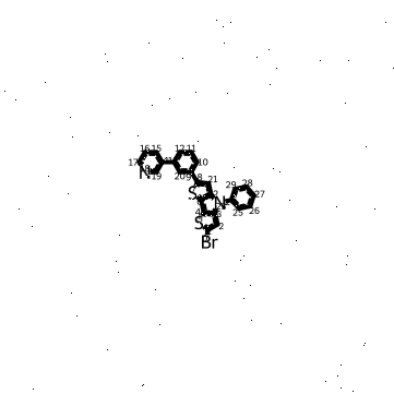 Brc1cc2c(s1)c1sc(-c3cccc(-c4cccnc4)c3)cc1n2-c1ccccc1